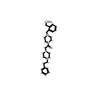 COCc1ccccc1CN1CCN(C(=O)CN2CCN(CCc3ccccc3)CC2)CC1